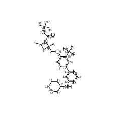 CC1C[C@@](C)(COc2ccc(-c3cc(NC4CCCOC4)ncn3)cc2C(F)(F)F)N1C(=O)OC(C)(C)C